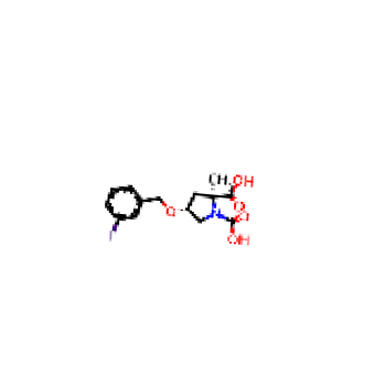 C[C@@]1(C(=O)O)C[C@@H](OCc2cccc(I)c2)CN1C(=O)O